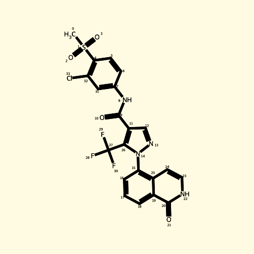 CS(=O)(=O)c1ccc(NC(=O)c2cnn(-c3cccc4c(=O)[nH]ccc34)c2C(F)(F)F)cc1Cl